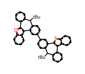 CC(C)(C)C1c2ccccc2-c2oc3ccccc3c2-c2cc(-c3ccc4c(c3)-c3sc5ccccc5c3-c3ccccc3C4C(C)(C)C)ccc21